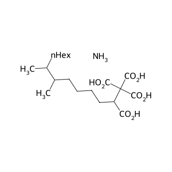 CCCCCCC(C)C(C)CCCCC(C(=O)O)C(C(=O)O)(C(=O)O)C(=O)O.N